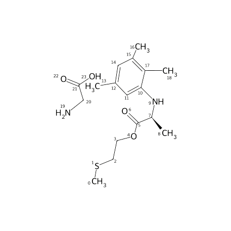 CSCCOC(=O)[C@H](C)Nc1cc(C)cc(C)c1C.NCC(=O)O